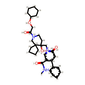 CNC(=O)c1cn(CC2(O)CCN(C(=O)COC3CCCCC3)CC23CCCC3)c(=O)cc1-c1ccccc1